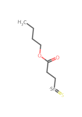 CCCCOC(=O)C[CH2][Sn]=[S]